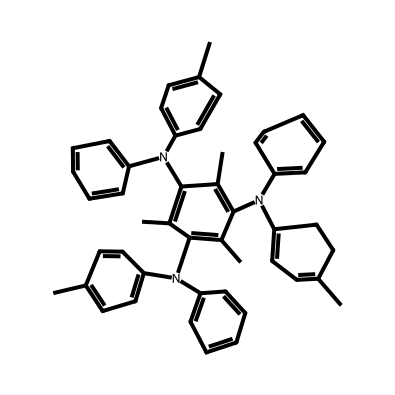 CC1=CC=C(N(c2ccccc2)c2c(C)c(N(c3ccccc3)c3ccc(C)cc3)c(C)c(N(c3ccccc3)c3ccc(C)cc3)c2C)CC1